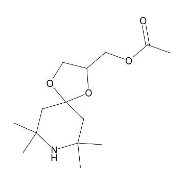 CC(=O)OCC1COC2(CC(C)(C)NC(C)(C)C2)O1